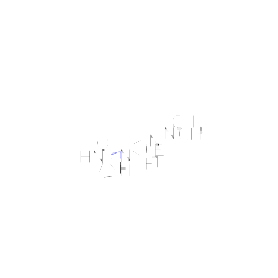 CC(C)N1CCN(c2ccc(N/C=C3/C(=O)Nc4cccc(F)c43)cc2C(F)(F)F)CC1